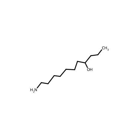 CCCC(O)CCCCCCCN